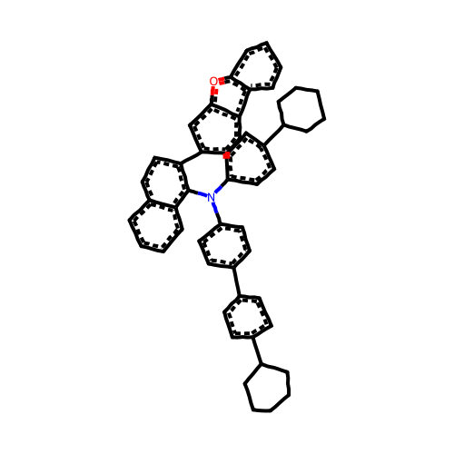 c1ccc2c(N(c3ccc(-c4ccc(C5CCCCC5)cc4)cc3)c3ccc(C4CCCCC4)cc3)c(-c3ccc4c(c3)oc3ccccc34)ccc2c1